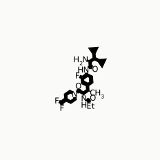 CCC(=O)N[C@@H](C(=O)N1CCC(=C(F)F)CC1)[C@@H](C)c1ccc(NC(=O)[C@@H](N)C(C2CC2)C2CC2)c(F)c1